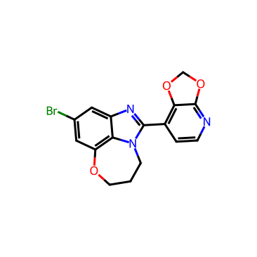 Brc1cc2c3c(c1)nc(-c1ccnc4c1OCO4)n3CCCO2